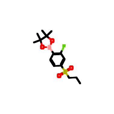 CCCS(=O)(=O)c1ccc(B2OC(C)(C)C(C)(C)O2)c(F)c1